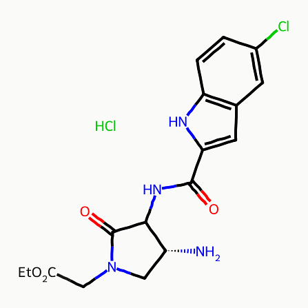 CCOC(=O)CN1C[C@@H](N)C(NC(=O)c2cc3cc(Cl)ccc3[nH]2)C1=O.Cl